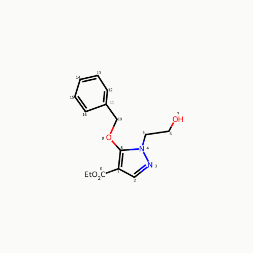 CCOC(=O)c1cnn(CCO)c1OCc1ccccc1